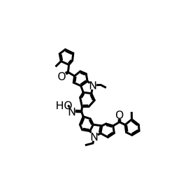 CCn1c2ccc(C(=O)c3ccccc3C)cc2c2cc(C(=NO)c3ccc4c(c3)c3cc(C(=O)c5ccccc5C)ccc3n4CC)ccc21